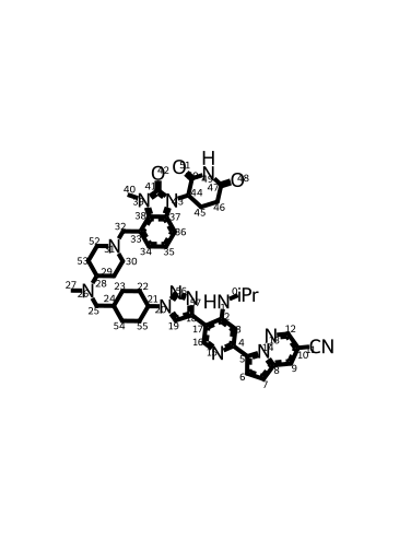 CC(C)Nc1cc(-c2ccc3cc(C#N)cnn23)ncc1-c1cn(C2CCC(CN(C)C3CCN(Cc4cccc5c4n(C)c(=O)n5C4CCC(=O)NC4=O)CC3)CC2)nn1